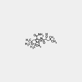 C=C(C)CC(O)C(=O)Nc1sc2c(c1C(N)=O)CC(C)(C)OC2(C)C